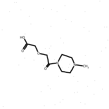 CN1CCN(C(=O)COCC(=O)O)CC1